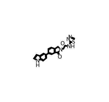 O=C(CN1Cc2ccc(-c3ccc4[nH]ccc4c3)cc2C1=O)Nc1nncs1